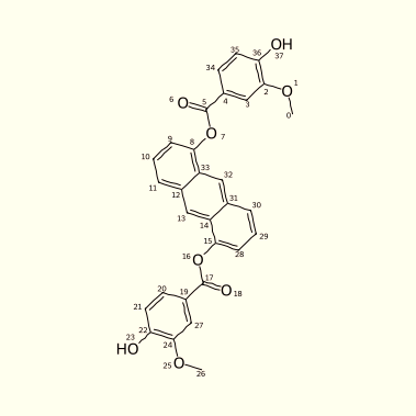 COc1cc(C(=O)Oc2cccc3cc4c(OC(=O)c5ccc(O)c(OC)c5)cccc4cc23)ccc1O